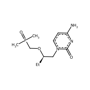 CC[C@H](Cn1ccc(N)nc1=O)OCP(C)(C)=O